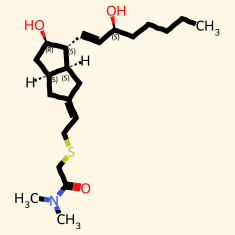 CCCCC[C@H](O)C=C[C@@H]1[C@H]2CC(=CCSCC(=O)N(C)C)C[C@H]2C[C@H]1O